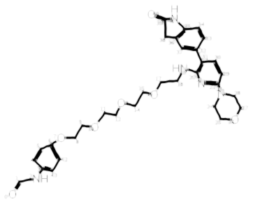 O=CNc1ccc(OCCOCCOCCOCCNc2nc(N3CCOCC3)ccc2-c2ccc3c(c2)CC(=O)N3)cc1